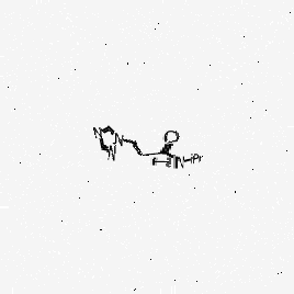 CC(C)NC(=O)/C=C/n1cncn1